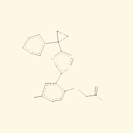 O=C(O)COc1ccc(Br)cc1-c1nc(C2(c3ccccc3)CC2)no1